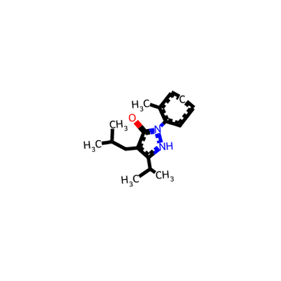 Cc1ccccc1-n1[nH]c(C(C)C)c(CC(C)C)c1=O